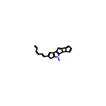 C=C/C=C\C=CC1=Cc2c3c(n(C)c2C1)C1C(=C3)C2=CC=CC21